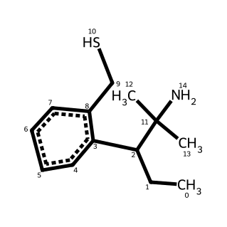 CCC(c1ccccc1CS)C(C)(C)N